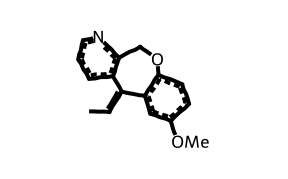 C/C=C1/c2cc(OC)ccc2OCc2ncccc21